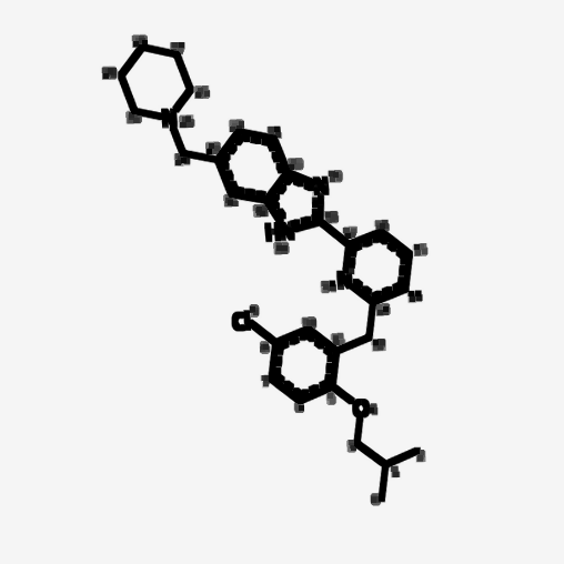 CC(C)COc1ccc(Cl)cc1Cc1cccc(-c2nc3ccc(CN4CCCCC4)cc3[nH]2)n1